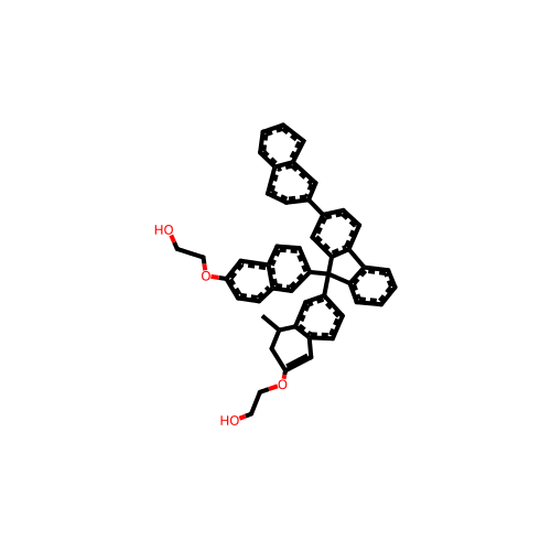 CC1CC(OCCO)=Cc2ccc(C3(c4ccc5cc(OCCO)ccc5c4)c4ccccc4-c4ccc(-c5ccc6ccccc6c5)cc43)cc21